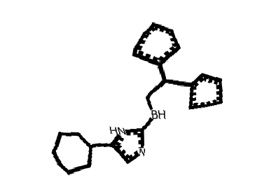 B(CC(c1ccccc1)c1ccccc1)c1ncc(C2CCCCC2)[nH]1